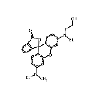 CCN(C)c1ccc2c(c1)Oc1cc(N(CC)CCO)ccc1C21OC(=O)c2ccccc21